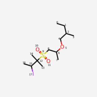 CCC(C)COC(C)CS(=O)(=O)C(C)(C)C(C)I